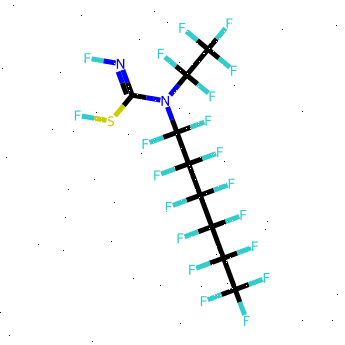 FN=C(SF)N(C(F)(F)C(F)(F)F)C(F)(F)C(F)(F)C(F)(F)C(F)(F)C(F)(F)C(F)(F)F